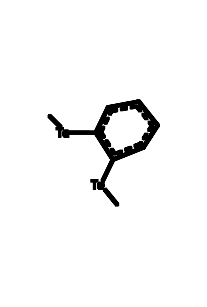 C[Te]c1ccccc1[Te]C